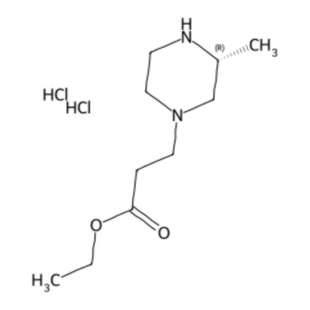 CCOC(=O)CCN1CCN[C@H](C)C1.Cl.Cl